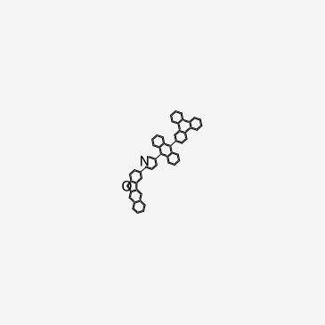 c1ccc2cc3c(cc2c1)oc1ccc(-c2ccc(-c4c5ccccc5c(-c5ccc6c7ccccc7c7ccccc7c6c5)c5ccccc45)cn2)cc13